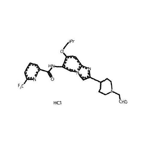 CC(C)Oc1cc2nc(C3CCN(CC=O)CC3)cn2cc1NC(=O)c1cccc(C(F)(F)F)n1.Cl